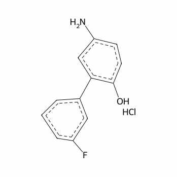 Cl.Nc1ccc(O)c(-c2cccc(F)c2)c1